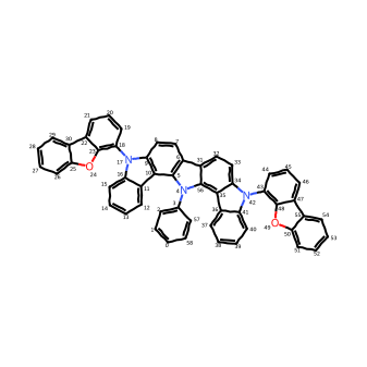 c1ccc(-n2c3c(ccc4c3c3ccccc3n4-c3cccc4c3oc3ccccc34)c3ccc4c(c5ccccc5n4-c4cccc5c4oc4ccccc45)c32)cc1